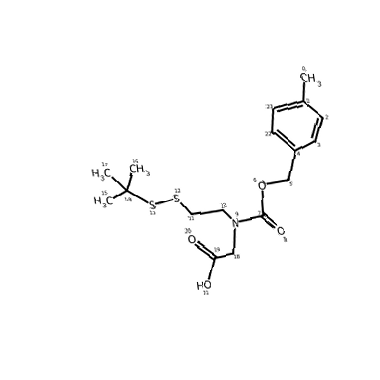 Cc1ccc(COC(=O)N(CCSSC(C)(C)C)CC(=O)O)cc1